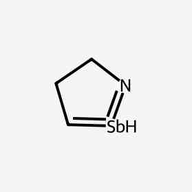 [CH]1=[SbH]=[N]CC1